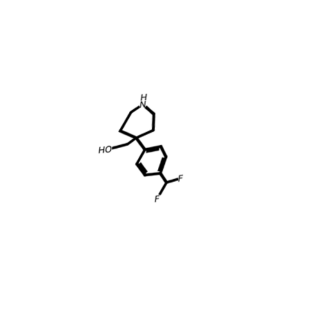 OCC1(c2ccc(C(F)F)cc2)CCNCC1